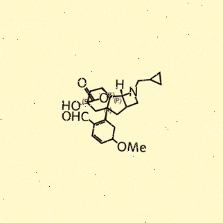 COC1C=CC(C=O)=C([C@]23CC4CN(CC5CC5)[C@H]4[C@]24CC[C@](O)(C3)C(=O)O4)C1